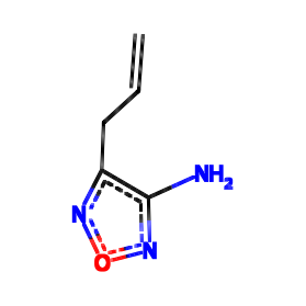 C=CCc1nonc1N